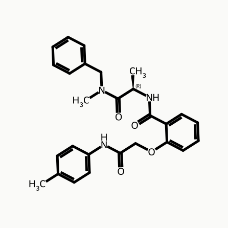 Cc1ccc(NC(=O)COc2ccccc2C(=O)N[C@H](C)C(=O)N(C)Cc2ccccc2)cc1